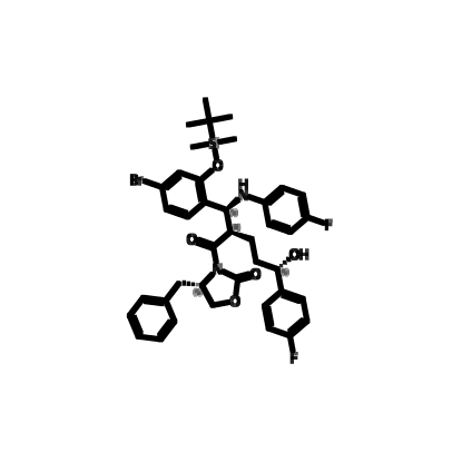 CC(C)(C)[Si](C)(C)Oc1cc(Br)ccc1[C@@H](Nc1ccc(F)cc1)[C@@H](CC[C@H](O)c1ccc(F)cc1)C(=O)N1C(=O)OC[C@@H]1Cc1ccccc1